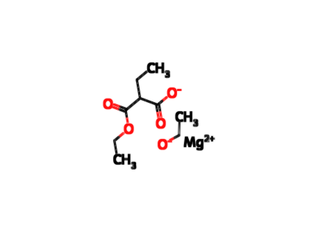 CCOC(=O)C(CC)C(=O)[O-].CC[O-].[Mg+2]